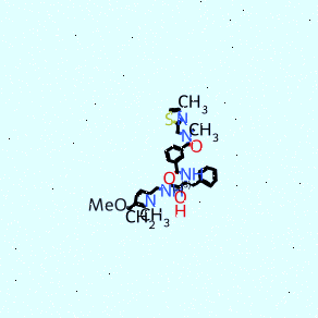 C=C(OC)c1ccc(CNC[C@@H](O)[C@H](Cc2ccccc2)NC(=O)c2cccc(C(=O)N(C)Cc3nc(C)cs3)c2)nc1C